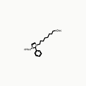 CCCCCCCCCCCCCCCCCCN1C=CN(CCCCCC)C1c1ccccc1